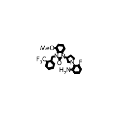 COc1cccc2c1n(Cc1ccccc1C(F)(F)F)c(=O)n2C1CCN(c2c(N)cccc2F)C1